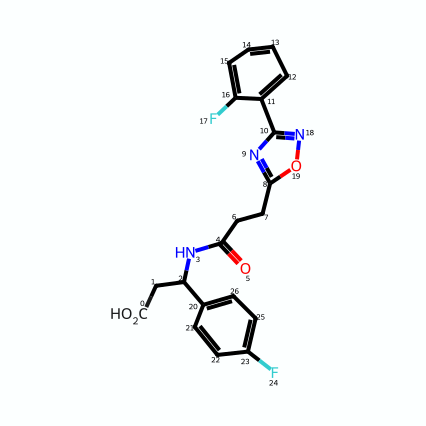 O=C(O)CC(NC(=O)CCc1nc(-c2ccccc2F)no1)c1ccc(F)cc1